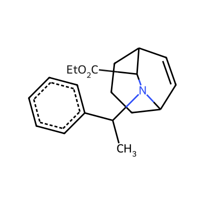 CCOC(=O)C1C2C=CC(CCC2)N1C(C)c1ccccc1